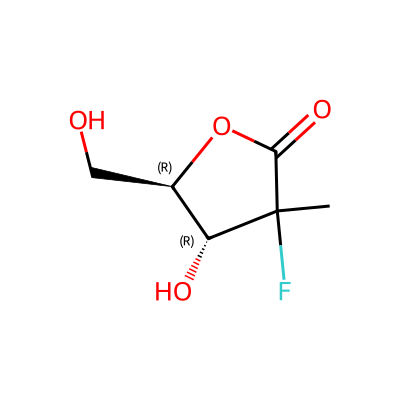 CC1(F)C(=O)O[C@H](CO)[C@H]1O